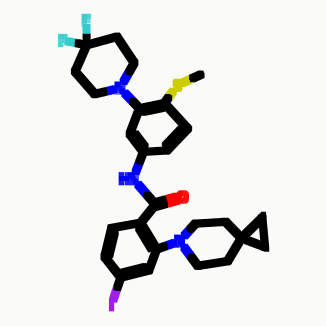 CSc1ccc(NC(=O)c2ccc(I)cc2N2CCC3(CC2)CC3)cc1N1CCC(F)(F)CC1